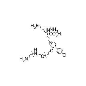 BCCCCC(CCCN1CCC(c2ccc(Cl)cc2)C(OCCC(C)(C)OCCNC(C)(C)CCN)C1)(NN)C(=O)O